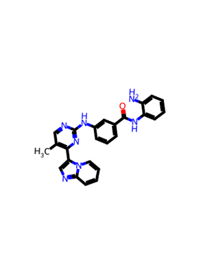 Cc1cnc(Nc2cccc(C(=O)Nc3ccccc3N)c2)nc1-c1cnc2ccccn12